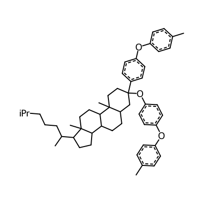 Cc1ccc(Oc2ccc(OC3(c4ccc(Oc5ccc(C)cc5)cc4)CCC4(C)C(CCC5C4CCC4(C)C(C(C)CCCC(C)C)CCC54)C3)cc2)cc1